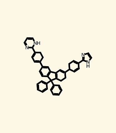 C1=CNC(C2=CC=C(c3ccc4c(c3)C3=C(CCC(C5C=CC(c6ncc[nH]6)=CC5)=C3)C4(c3ccccc3)c3ccccc3)CC2)N=C1